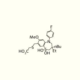 CCCCC1(CC)CN(c2ccc(F)cc2)c2cc(OC)c(CSCC(=O)O)cc2S(O)(O)C1